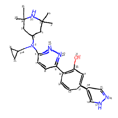 CC1(C)CC(N(c2ccc(-c3ccc(-c4cn[nH]c4)cc3O)nn2)C2CC2)CC(C)(C)N1